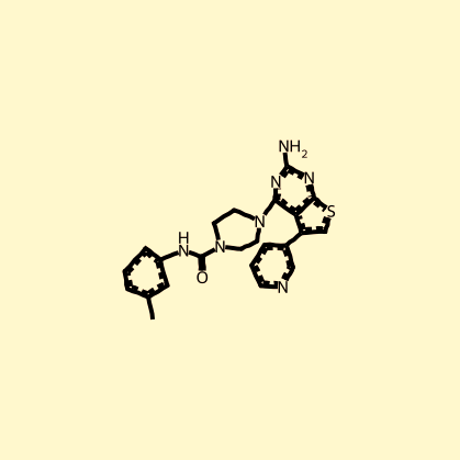 Cc1cccc(NC(=O)N2CCN(c3nc(N)nc4scc(-c5cccnc5)c34)CC2)c1